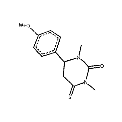 COc1ccc(C2CC(=S)N(C)C(=O)N2C)cc1